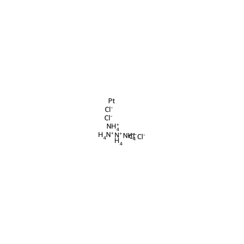 [Cl-].[Cl-].[Cl-].[Cl-].[NH4+].[NH4+].[NH4+].[NH4+].[Pt]